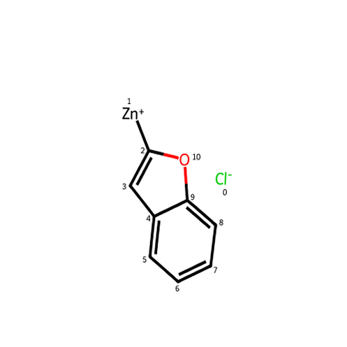 [Cl-].[Zn+][c]1cc2ccccc2o1